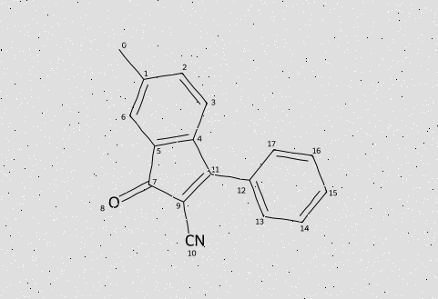 Cc1ccc2c(c1)C(=O)C(C#N)=C2c1ccccc1